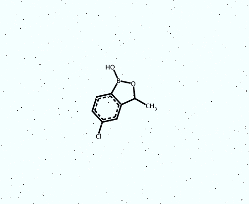 CC1OB(O)c2ccc(Cl)cc21